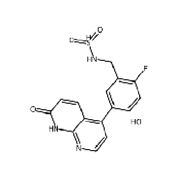 Cl.O=c1ccc2c(-c3ccc(F)c(CN[SH](=O)=O)c3)ccnc2[nH]1